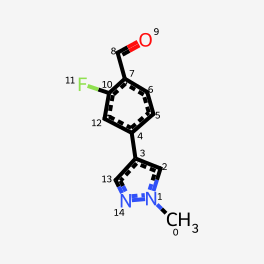 Cn1cc(-c2ccc(C=O)c(F)c2)cn1